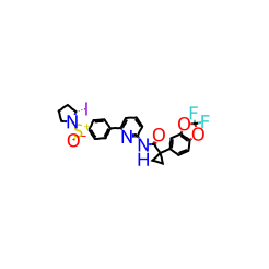 O=C(Nc1cccc(-c2ccc([S+]([O-])N3CCC[C@@H]3I)cc2)n1)C1(c2ccc3c(c2)OC(F)(F)O3)CC1